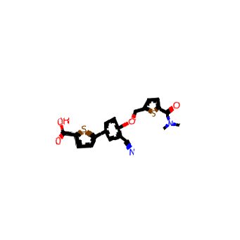 CN(C)C(=O)c1ccc(COc2ccc(-c3ccc(C(=O)O)s3)cc2C#N)s1